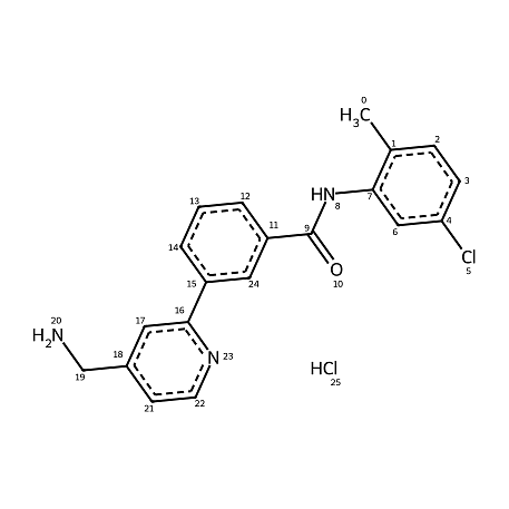 Cc1ccc(Cl)cc1NC(=O)c1cccc(-c2cc(CN)ccn2)c1.Cl